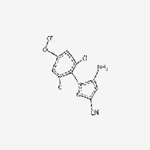 N#Cc1cc(N)n(-c2c(Cl)cc(OC(F)(F)F)cc2Cl)n1